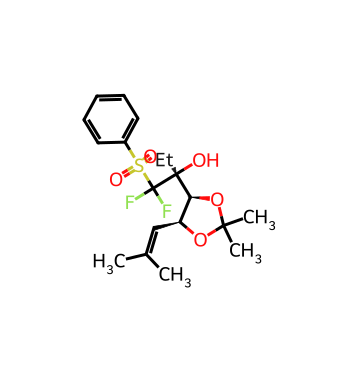 CC[C@@](O)([C@H]1OC(C)(C)O[C@H]1C=C(C)C)C(F)(F)S(=O)(=O)c1ccccc1